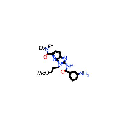 CCN(CC)C(=O)c1ccc2nc(NC(=O)c3cccc(N)c3)n(CCCOC)c2n1